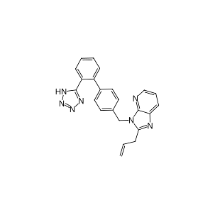 C=CCc1nc2cccnc2n1Cc1ccc(-c2ccccc2-c2nnn[nH]2)cc1